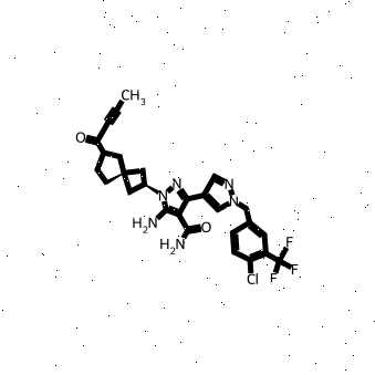 CC#CC(=O)C1CC[C@]2(C1)C[C@H](n1nc(-c3cnn(Cc4ccc(Cl)c(C(F)(F)F)c4)c3)c(C(N)=O)c1N)C2